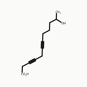 CC(O)CCCC#CCC#CCC(=O)O